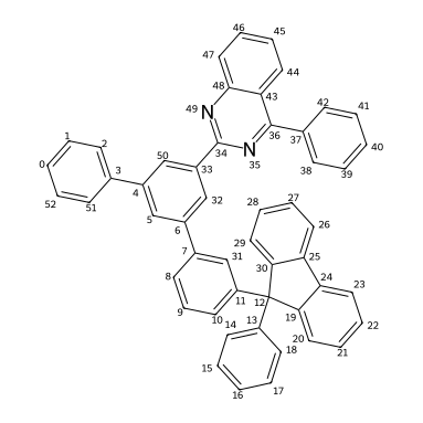 c1ccc(-c2cc(-c3cccc(C4(c5ccccc5)c5ccccc5-c5ccccc54)c3)cc(-c3nc(-c4ccccc4)c4ccccc4n3)c2)cc1